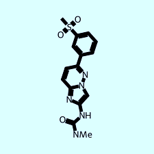 CNC(=O)Nc1cn2nc(-c3cccc(S(C)(=O)=O)c3)ccc2n1